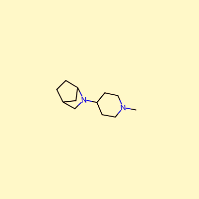 CN1CCC(N2CC3CCC2C3)CC1